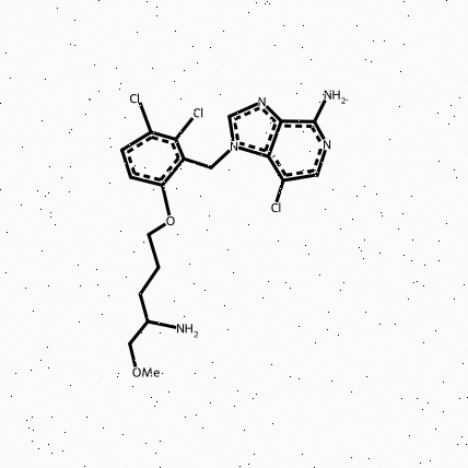 COCC(N)CCCOc1ccc(Cl)c(Cl)c1Cn1cnc2c(N)ncc(Cl)c21